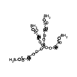 BCc1ccc(SC(=O)CCc2cn(CCCOCCOCCCOCC(COCCCOCCOCCCn3cc(CCC(=O)Sc4ccc(CB)cc4)nn3)(COCCOCCn3cc(CCC(=O)Sc4ccc(CB)cc4)nn3)COCCOCCn3cc(CCC(=O)Sc4ccc(CB)cc4)nn3)nn2)cc1